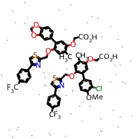 COc1ccc(-c2cc(OCC(=O)O)c(C)cc2OCc2nc(-c3ccc(C(F)(F)F)cc3)cs2)cc1Cl.Cc1cc(OCc2nc(-c3ccc(C(F)(F)F)cc3)cs2)c(-c2ccc3c(c2)OCO3)cc1OCC(=O)O